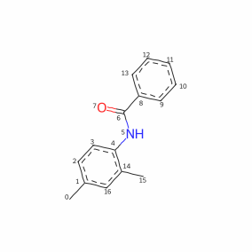 Cc1ccc(NC(=O)c2ccccc2)c(C)c1